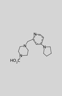 O=C(O)N1CCN(Cc2cc(N3CCCC3)ccn2)CC1